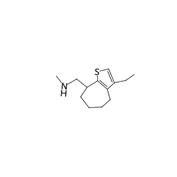 CCc1csc2c1CCCCC2CNC